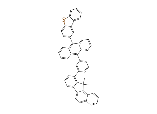 CC1(C)c2c(-c3cccc(-c4c5ccccc5c(-c5ccc6sc7ccccc7c6c5)c5ccccc45)c3)cccc2-c2ccc3ccccc3c21